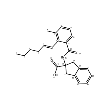 CCCCC=Cc1c(C)cccc1C(=O)NC1(C(=O)O)Cc2ccccc2C1